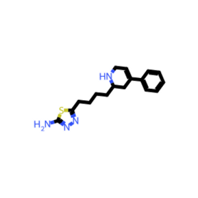 Nc1nnc(CCCCC2CC(c3ccccc3)=CCN2)s1